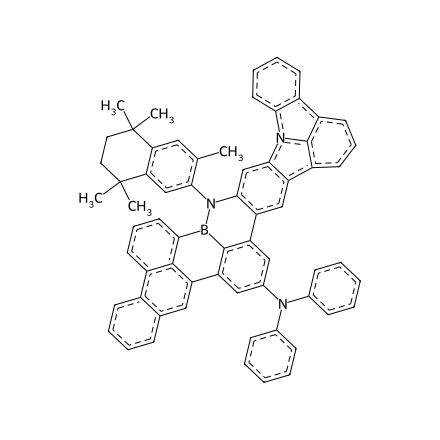 Cc1cc2c(cc1N1B3c4c(cc(N(c5ccccc5)c5ccccc5)cc4-c4cc5ccccc5c5cccc3c45)-c3cc4c5cccc6c7ccccc7n(c4cc31)c65)C(C)(C)CCC2(C)C